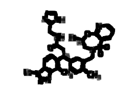 CC[C@@H]1CN(Cc2cc([C@H](CC(=O)NCc3ncc[nH]3)c3ccc4c(nnn4CC)c3C)ccc2C)S(=O)(=O)c2cccnc2O1